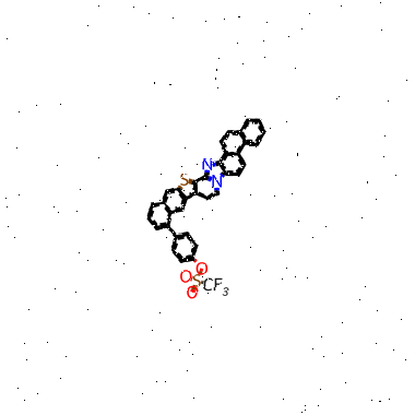 O=S(=O)(Oc1ccc(-c2cccc3cc4sc5c(ccn6c7ccc8c9ccccc9ccc8c7nc56)c4cc23)cc1)C(F)(F)F